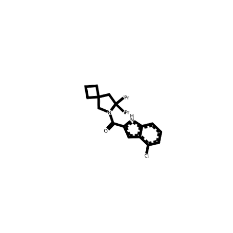 CC(C)C1(C(C)C)CC2(CCC2)CN1C(=O)c1cc2c(Cl)cccc2[nH]1